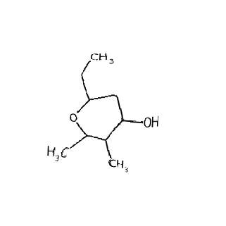 CCC1CC(O)C(C)C(C)O1